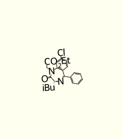 CCOC(=O)CN1C(=O)[C@H]([C@@H](C)CC)N=C(c2ccccc2)c2ccc(Cl)cc21